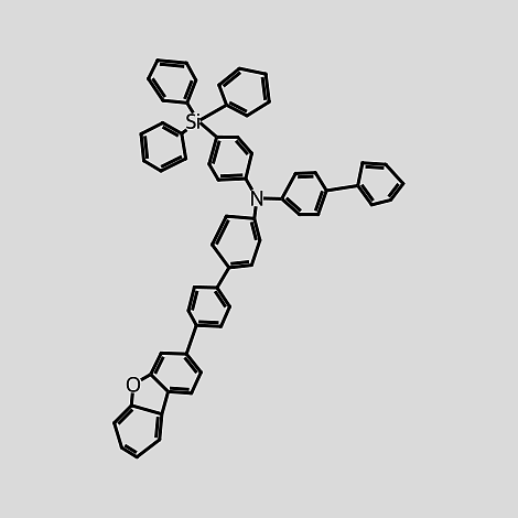 c1ccc(-c2ccc(N(c3ccc(-c4ccc(-c5ccc6c(c5)oc5ccccc56)cc4)cc3)c3ccc([Si](c4ccccc4)(c4ccccc4)c4ccccc4)cc3)cc2)cc1